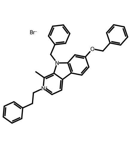 Cc1c2c(cc[n+]1CCc1ccccc1)c1ccc(OCc3ccccc3)cc1n2Cc1ccccc1.[Br-]